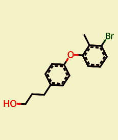 Cc1c(Br)cccc1Oc1ccc(CCCO)cc1